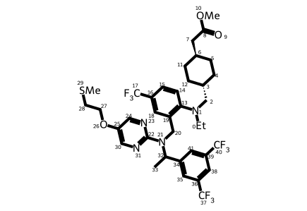 CCN(C[C@H]1CC[C@H](CC(=O)OC)CC1)c1ccc(C(F)(F)F)cc1CN(c1ncc(OCCSC)cn1)C(C)c1cc(C(F)(F)F)cc(C(F)(F)F)c1